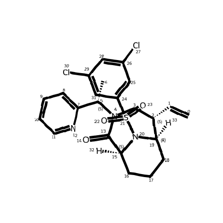 C=C[C@H]1CN([C@@H](C)c2ccccn2)C(=O)[C@@H]2CCC[C@H]1N2S(=O)(=O)c1cc(Cl)cc(Cl)c1